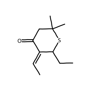 C/C=C1/C(=O)CC(C)(C)SC1CC